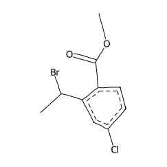 COC(=O)c1ccc(Cl)cc1C(C)Br